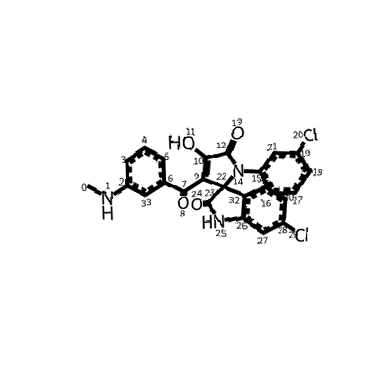 CNc1cccc(C(=O)C2=C(O)C(=O)N(c3cccc(Cl)c3)C23C(=O)Nc2cc(Cl)ccc23)c1